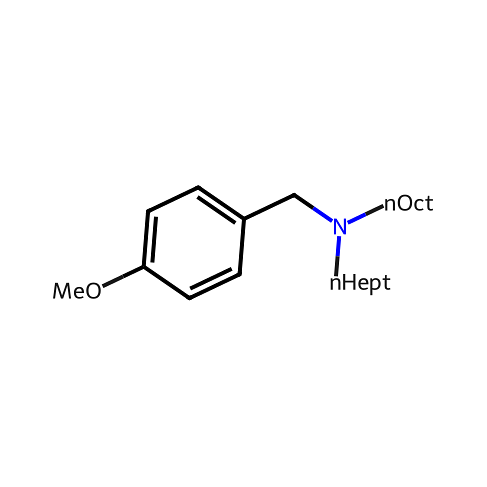 CCCCCCCCN(CCCCCCC)Cc1ccc(OC)cc1